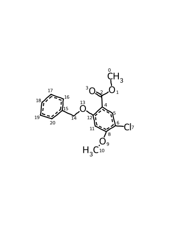 COC(=O)c1cc(Cl)c(OC)cc1OCc1ccccc1